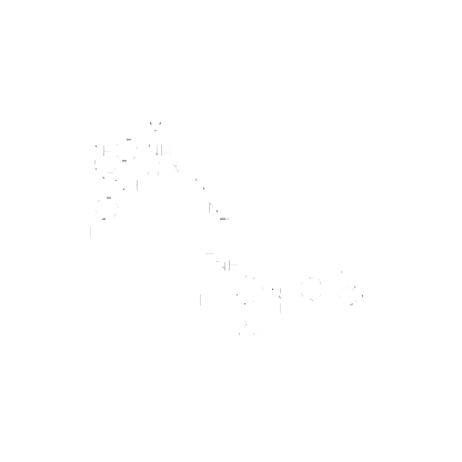 COc1cc2ncnc(Nc3ccc(F)c(Cl)c3)c2cc1NC(=O)/C=C/CN1CCN(C(=O)CCC(=O)NCC(C(=O)N2C[C@H](O)C[C@H]2C(=O)NCc2ccc(-c3scnc3C)cc2)C(C)(C)C)CC1